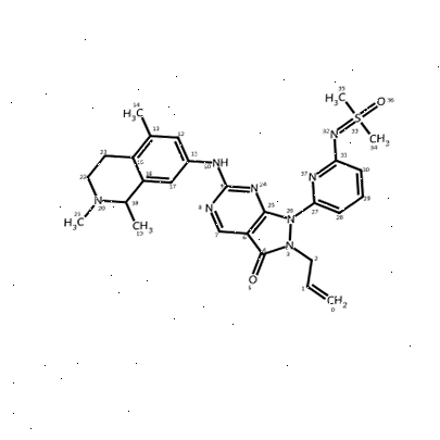 C=CCn1c(=O)c2cnc(Nc3cc(C)c4c(c3)C(C)N(C)CC4)nc2n1-c1cccc(N=S(C)(C)=O)n1